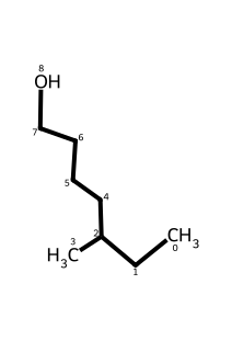 CCC(C)CCCCO